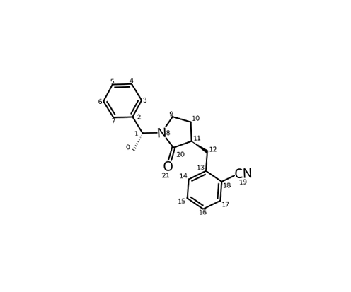 C[C@H](c1ccccc1)N1CC[C@@H](Cc2ccccc2C#N)C1=O